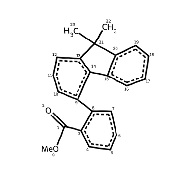 COC(=O)c1ccccc1-c1cccc2c1-c1ccccc1C2(C)C